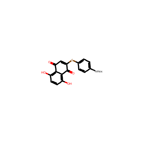 CCCCCCc1ccc(SC2=CC(=O)c3c(O)ccc(O)c3C2=O)cc1